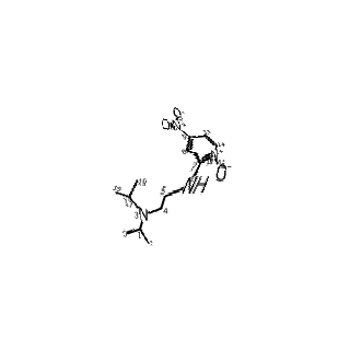 CC(C)N(CCNc1cc([N+](=O)[O-])cc[n+]1[O-])C(C)C